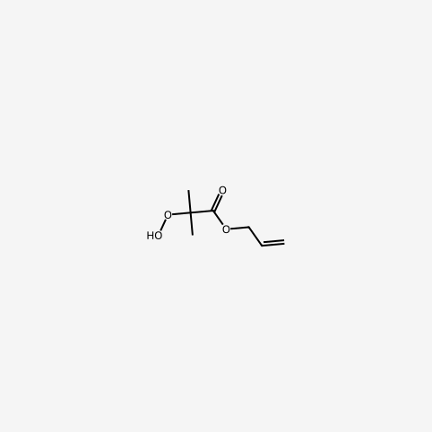 C=CCOC(=O)C(C)(C)OO